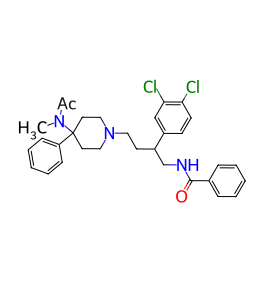 CC(=O)N(C)C1(c2ccccc2)CCN(CCC(CNC(=O)c2ccccc2)c2ccc(Cl)c(Cl)c2)CC1